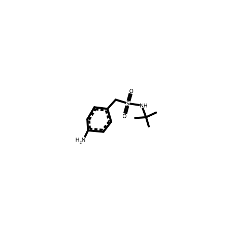 CC(C)(C)NS(=O)(=O)Cc1ccc(N)cc1